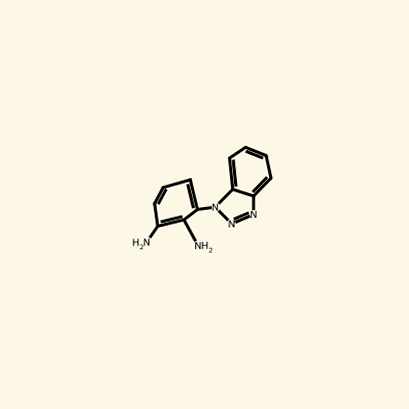 Nc1cccc(-n2nnc3ccccc32)c1N